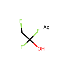 OC(F)(F)CF.[Ag]